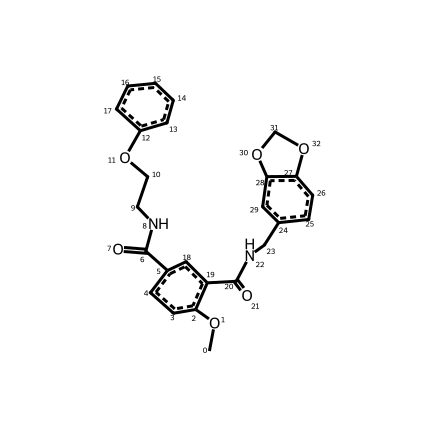 COc1ccc(C(=O)NCCOc2ccccc2)cc1C(=O)NCc1ccc2c(c1)OCO2